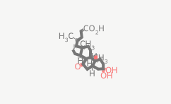 C[C@H](CCC(=O)O)[C@H]1CC[C@H]2[C@@H]3C(=O)C[C@@H]4CC(O)(O)CC[C@]4(C)[C@H]3CC[C@]12C